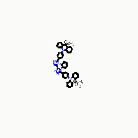 CC1(C)c2ccccc2N(c2ccc(-c3nnc4c5nnc(-c6ccc(N7c8ccccc8[Si](C)(C)c8ccccc87)cc6)n5c5ccccc5n34)cc2)c2ccccc21